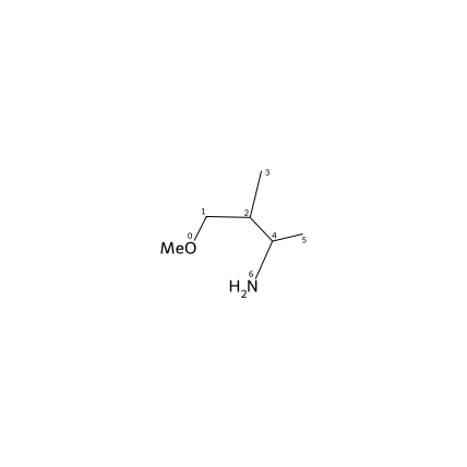 COCC(C)C(C)N